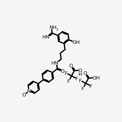 N=C(N)c1ccc(O)c(CCCNC(=O)c2ccc(-c3cc[n+]([O-])cc3)cc2)c1.O=C(O)C(F)(F)F.O=C(O)C(F)(F)F